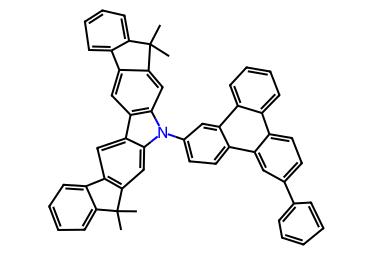 CC1(C)c2ccccc2-c2cc3c4cc5c(cc4n(-c4ccc6c7cc(-c8ccccc8)ccc7c7ccccc7c6c4)c3cc21)C(C)(C)c1ccccc1-5